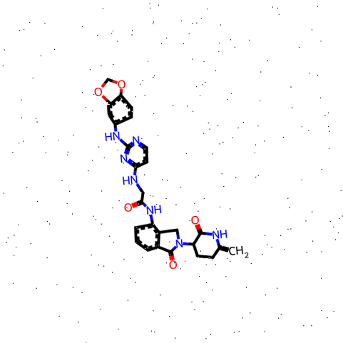 C=C1CCC(N2Cc3c(NC(=O)CNc4ccnc(Nc5ccc6c(c5)OCO6)n4)cccc3C2=O)C(=O)N1